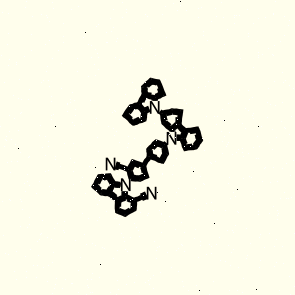 N#Cc1cc(-c2ccc(-n3c4ccccc4c4ccc(-n5c6ccccc6c6ccccc65)cc43)cc2)ccc1-n1c2ccccc2c2cccc(C#N)c21